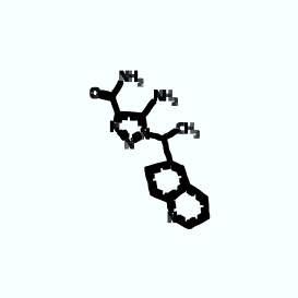 CC(c1ccc2ncccc2c1)n1nnc(C(N)=O)c1N